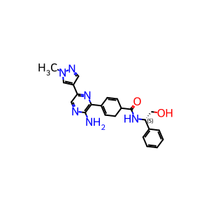 Cn1cc(-c2cnc(N)c(C3=CCC(C(=O)N[C@H](CO)c4ccccc4)C=C3)n2)cn1